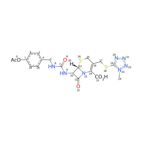 CC(=O)Oc1ccc(CNC(=O)NC2C(=O)N3C(C(=O)O)=C(CSc4nnnn4C)CS[C@@H]23)cc1